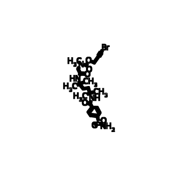 CN(CC(=O)NC(C)(C)CCC(C)(C)NC(=O)c1ccc(S(N)(=O)=O)cc1)C(=O)OCC#CBr